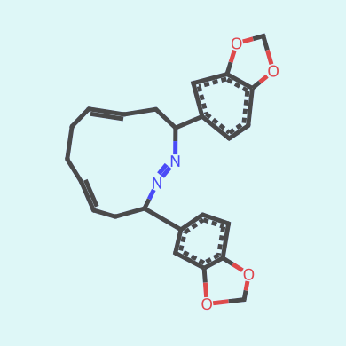 C1=C/CC(c2ccc3c(c2)OCO3)/N=N/C(c2ccc3c(c2)OCO3)C/C=C/CC/1